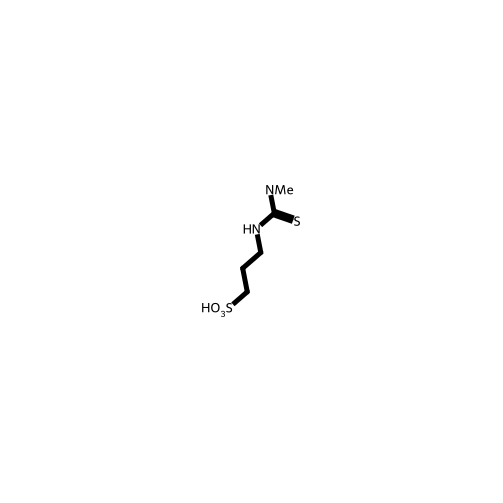 CNC(=S)NCCCS(=O)(=O)O